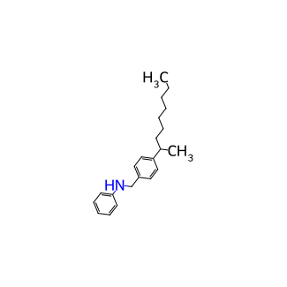 CCCCCCCC(C)c1ccc(CNc2ccccc2)cc1